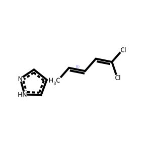 C/C=C/C=C(Cl)Cl.c1cn[nH]c1